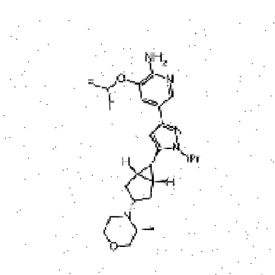 CC(C)n1nc(-c2cnc(N)c(OC(F)F)c2)cc1[C@H]1[C@@H]2C[C@H](N3CCOC[C@@H]3C)C[C@@H]21